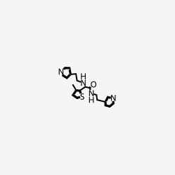 Cc1ccsc1C(NCCc1ccncc1)C(=O)NCCc1cccnc1